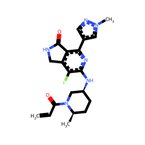 C=CC(=O)N1C[C@@H](Nc2nc(-c3cnn(C)c3)c3c(c2F)CNC3=O)CC[C@H]1C